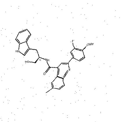 COc1ccc(-c2cc(C(=O)N[C@@H](CO)Cc3c[nH]c4ccccc34)c3cc(C)ccc3n2)cc1F